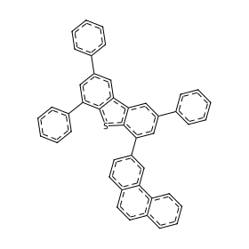 c1ccc(-c2cc(-c3ccccc3)c3sc4c(-c5ccc6ccc7ccccc7c6c5)cc(-c5ccccc5)cc4c3c2)cc1